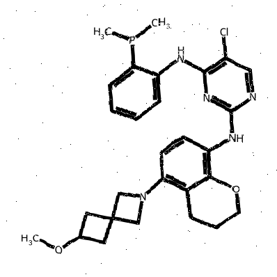 COC1CC2(C1)CN(c1ccc(Nc3ncc(Cl)c(Nc4ccccc4P(C)C)n3)c3c1CCCO3)C2